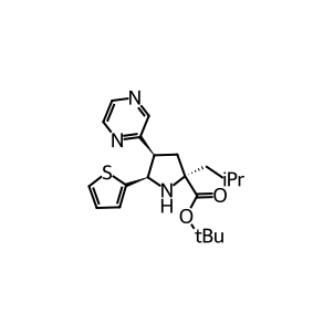 CC(C)C[C@@]1(C(=O)OC(C)(C)C)C[C@H](c2cnccn2)[C@H](c2cccs2)N1